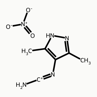 Cc1n[nH]c(C)c1/N=[C+]/N.O=[N+]([O-])[O-]